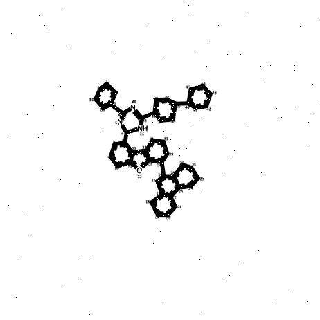 c1ccc(C2=NC(c3cccc4oc5c(-c6cc7ccccc7c7ccccc67)cccc5c34)NC(c3ccc(-c4ccccc4)cc3)=N2)cc1